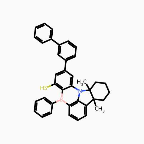 CC12CCCCC1(C)N1c3cc(-c4cccc(-c5ccccc5)c4)cc(S)c3B(c3ccccc3)c3cccc2c31